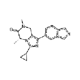 C[C@@H]1C(=O)N(C)Cc2c(-c3ccc4cncn4c3)nc(C3CC3)n21